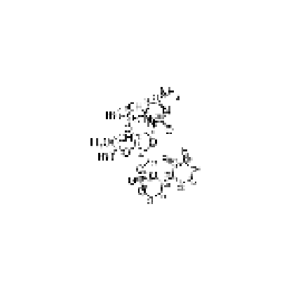 CC(C)(C)[Si](C)(C)O[C@H]1[C@H](O[Si](C)(C)C(C)(C)C)[C@@H](CO[P@]2(=O)OCC[C@H](c3cccc(F)c3F)O2)O[C@H]1n1ccc(N)nc1=O